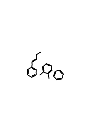 CCC=Cc1ccccc1.Cc1ccccc1C.c1ccccc1